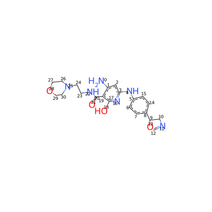 Nc1cc(Nc2ccc(C3CN=CO3)cc2)nc(O)c1C(=O)NCCN1CCOCC1